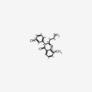 Cc1cccc2c(=O)n(-c3cccc(Cl)c3)c(CCN)nc12